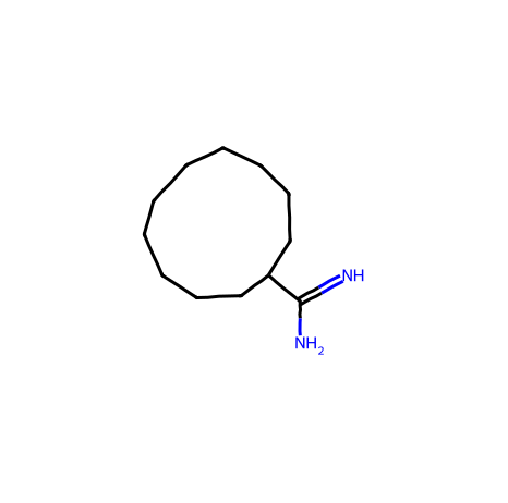 N=C(N)C1CCCCCCCCCC1